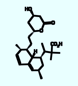 CC([C@@H]1C[C@@H](C)C=C2C=C[C@H](C)[C@H](CC[C@@H]3C[C@@H](O)CC(=O)O3)[C@@H]21)C(C)(C)C(=O)O